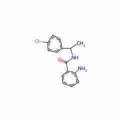 CC(NC(=O)c1ccccc1N)c1ccc(Cl)cc1